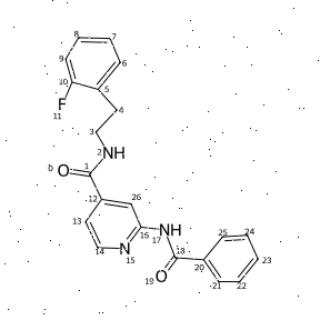 O=C(NCCc1ccccc1F)c1ccnc(NC(=O)c2ccccc2)c1